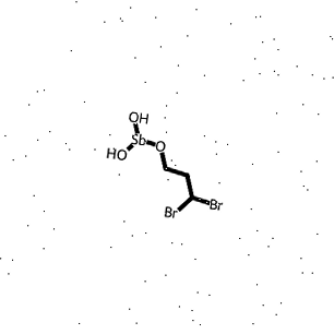 [OH][Sb]([OH])[O]CCC(Br)Br